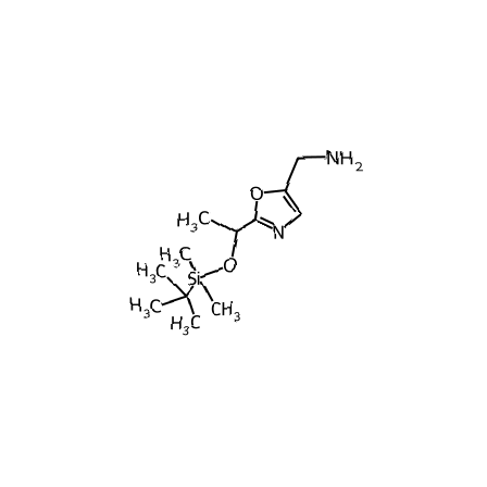 CC(O[Si](C)(C)C(C)(C)C)c1ncc(CN)o1